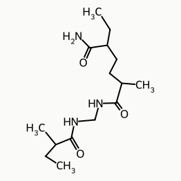 CCC(C)C(=O)NCNC(=O)C(C)CCC(CC)C(N)=O